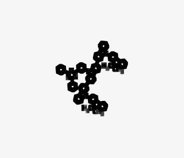 CC1(C)c2ccccc2-c2ccc(-n3c4ccccc4c4ccc(-c5ccc6c7ccc(-c8ccc9c%10ccccc%10n(-c%10ccc%11c(c%10)C(C)(C)c%10ccccc%10-%11)c9c8)cc7n(-c7cccc(-c8nc(-c9ccccc9)nc(-c9ccccc9)n8)c7)c6c5)cc43)cc21